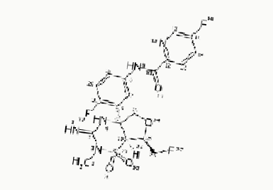 CN1C(=N)N[C@@]2(c3cc(NC(=O)c4ccc(F)cn4)ccc3F)CO[C@@H](CF)[C@H]2S1(=O)=O